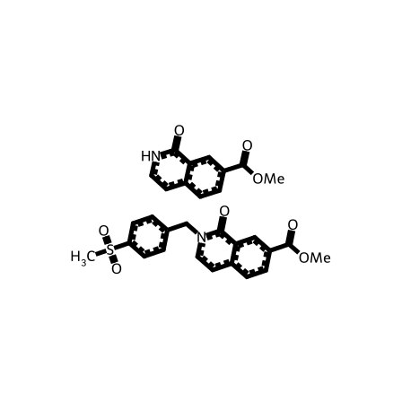 COC(=O)c1ccc2cc[nH]c(=O)c2c1.COC(=O)c1ccc2ccn(Cc3ccc(S(C)(=O)=O)cc3)c(=O)c2c1